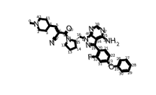 CN1CCC(C=C(C#N)C(=O)N2CCC[C@H]2Cn2nc(-c3ccc(Oc4ccccc4)cc3F)c3c(N)ncnc32)CC1